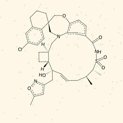 Cc1cc(C[C@]2(O)/C=C/C[C@H](C)[C@@H](C)S(=O)(=O)NC(=O)c3ccc4c(c3)N(C[C@@H]3CC[C@H]32)C[C@@]2(CCCc3cc(Cl)ccc32)CO4)no1